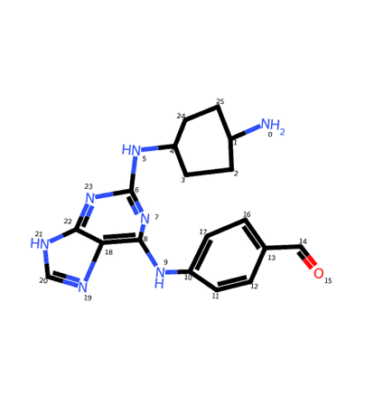 NC1CCC(Nc2nc(Nc3ccc(C=O)cc3)c3nc[nH]c3n2)CC1